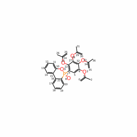 C=C(C)Oc1cc(P2(=O)Oc3ccccc3-c3ccccc32)c(OC(=C)C)c(OC(=C)C)c1OC(=C)C